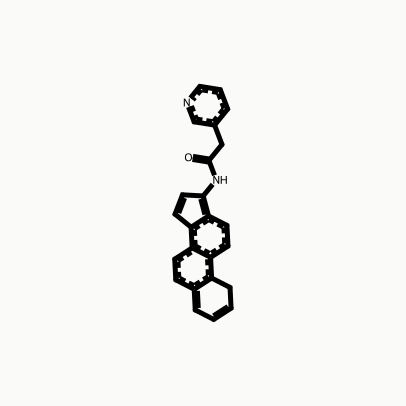 O=C(Cc1cccnc1)NC1=c2ccc3c4c(ccc3c2C=C1)=CC=CC4